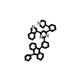 c1ccc(-c2c3ccccc3c(-c3cccc(-c4nc(-c5ccccc5-c5ccncc5)cc(-c5cncc6ccccc56)n4)c3)c3ccccc23)cc1